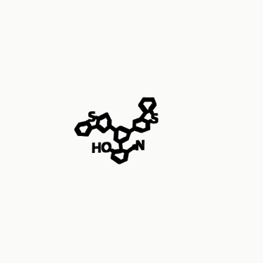 N#Cc1cccc(O)c1-c1cc(-c2ccc3sc4ccccc4c3c2)cc(-c2ccc3sc4ccccc4c3c2)c1